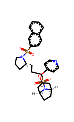 O=S(=O)(CCC[C@@H]1CCCN1S(=O)(=O)c1ccc2ccccc2c1)N1[C@@H]2CC[C@H]1C[C@@H](Oc1ccncc1)C2